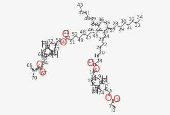 C=CC(=O)OCC1C[C@@H]2C3CC(CC3COC(=O)CCCCCCCC3C(CCCCCCCC)CCC(CCCCCC)C3CCCCCCCC(=O)OCC3C[C@@H]4C5CC(CC5COC(=O)C(=C)C)[C@@H]4C3)[C@@H]2C1